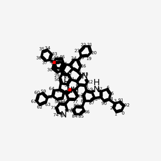 c1ccc(-c2ccc3[nH]c4c(-c5cnc(-c6cc(-c7ccccc7)cc7c6[nH]c6ccc(-c8ccccc8)cc67)c(-c6cc(-c7ccccc7)cc7c6[nH]c6ccc(-c8ccccc8)cc67)c5-c5ccc(-c6cccnc6)cc5)cc(-c5ccccc5)cc4c3c2)cc1